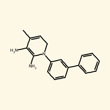 CC1=CCN(c2cccc(-c3ccccc3)c2)C(N)=C1N